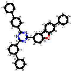 c1ccc(-c2ccc(-c3nc(-c4cccc(-c5ccccc5)c4)nc(-c4ccc5oc6cc(-c7ccccc7)ccc6c5c4)n3)cc2)cc1